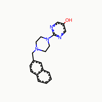 Oc1cnc(N2CCN(Cc3ccc4ccccc4c3)CC2)nc1